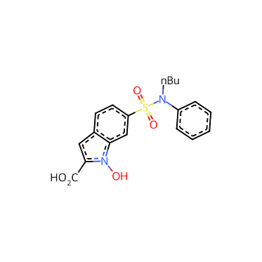 CCCCN(c1ccccc1)S(=O)(=O)c1ccc2cc(C(=O)O)n(O)c2c1